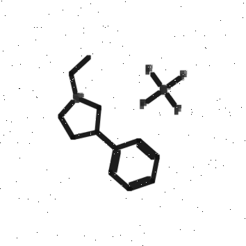 CC[S+]1CCC(c2ccccc2)C1.F[B-](F)(F)F